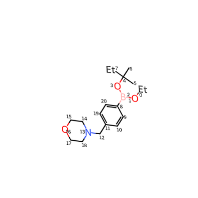 CCOB(OC(C)(C)CC)c1ccc(CN2CCOCC2)cc1